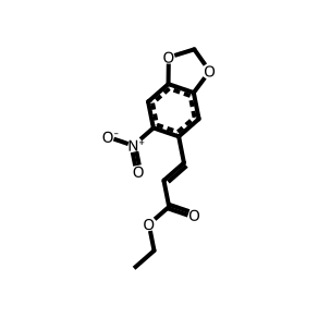 CCOC(=O)/C=C/c1cc2c(cc1[N+](=O)[O-])OCO2